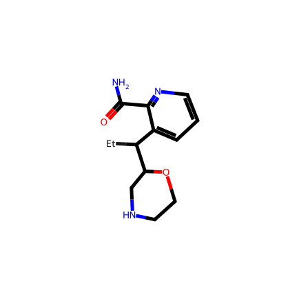 CCC(c1cccnc1C(N)=O)C1CNCCO1